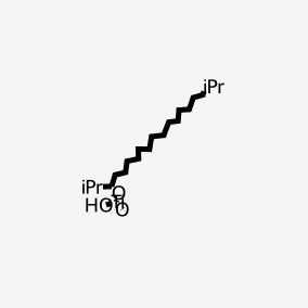 CC(C)CCCCCCCCCCCCCCC([O][Ti](=[O])[OH])C(C)C